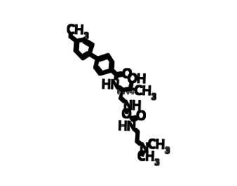 CCc1ccc(-c2ccc(C(=O)N[C@H](CNOC(=O)NCCN(C)C)[C@@H](C)O)cc2)cc1